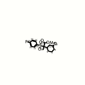 COC(=O)C(C)(C1CCCC(=O)C1)S(=O)(=O)c1ccc(F)cc1